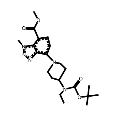 CCN(C(=O)OC(C)(C)C)C1CCN(c2ccc(C(=O)OC)c3c2nnn3C)CC1